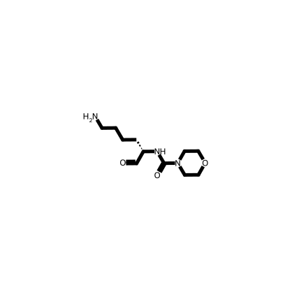 NCCCC[C@@H](C=O)NC(=O)N1CCOCC1